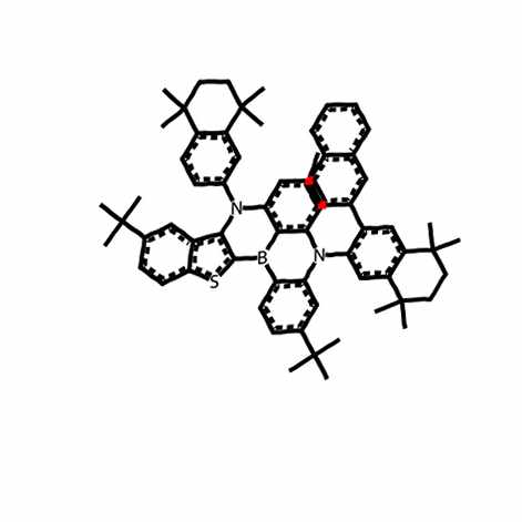 Cc1cc2c3c(c1)N(c1ccc4c(c1)C(C)(C)CCC4(C)C)c1c(sc4ccc(C(C)(C)C)cc14)B3c1ccc(C(C)(C)C)cc1N2c1cc2c(cc1-c1c#cc3ccccc3c1)C(C)(C)CCC2(C)C